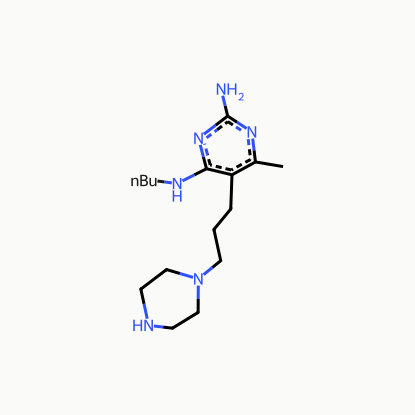 CCCCNc1nc(N)nc(C)c1CCCN1CCNCC1